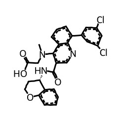 CN(CC(=O)O)c1c(C(=O)N[C@H]2CCOc3ccccc32)cnc2c(-c3cc(Cl)cc(Cl)c3)cccc12